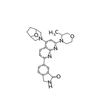 CC1COCCN1c1cc(N2CC3CCC(C2)O3)c2ccc(-c3ccc4c(c3)C(=O)NC4)nc2n1